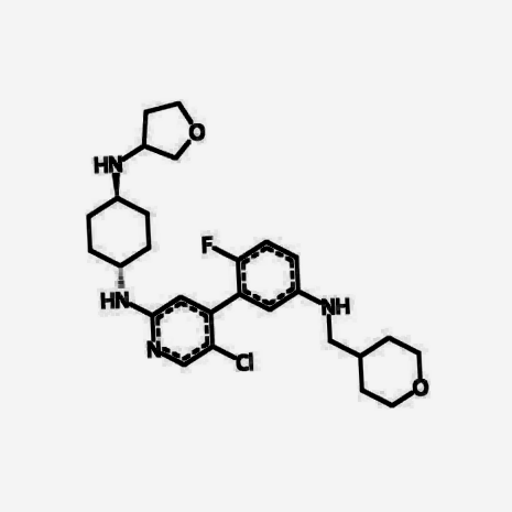 Fc1ccc(NCC2CCOCC2)cc1-c1cc(N[C@H]2CC[C@H](NC3CCOC3)CC2)ncc1Cl